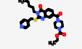 CCCCCn1c(SCc2ccncc2)nc2cc(C(=O)N3CCN(C(=O)OCC)CC3)ccc2c1=O